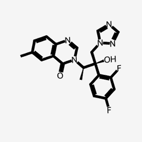 Cc1ccc2ncn([C@H](C)[C@](O)(Cn3cncn3)c3ccc(F)cc3F)c(=O)c2c1